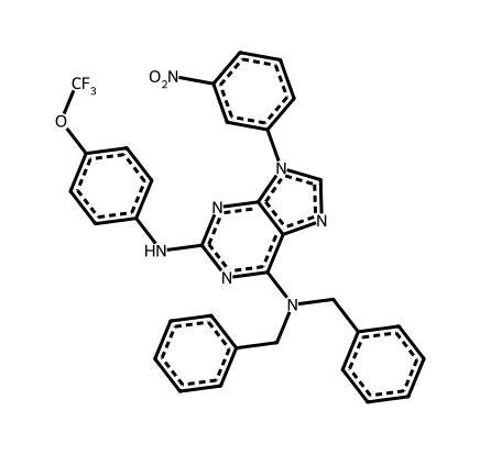 O=[N+]([O-])c1cccc(-n2cnc3c(N(Cc4ccccc4)Cc4ccccc4)nc(Nc4ccc(OC(F)(F)F)cc4)nc32)c1